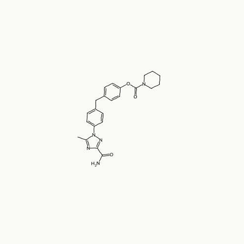 Cc1nc(C(N)=O)nn1-c1ccc(Cc2ccc(OC(=O)N3CCCCC3)cc2)cc1